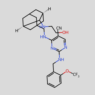 N#Cc1cnc(NCc2ccccc2OC(F)(F)F)nc1NCC12CC3C[C@H](C1)C(NCCO)[C@@H](C3)C2